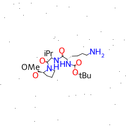 COC(=O)[C@@H]1CCCN1C(=O)[C@@H](NC(=O)[C@H](CCCCN)NC(=O)OC(C)(C)C)C(C)C